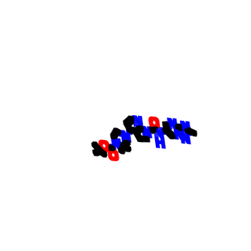 Cc1nc2ncc(NC(=O)N3CCc4c(N5CCN(C(=O)OC(C)(C)C)C(C)(C)C5)ccnc43)cn2n1